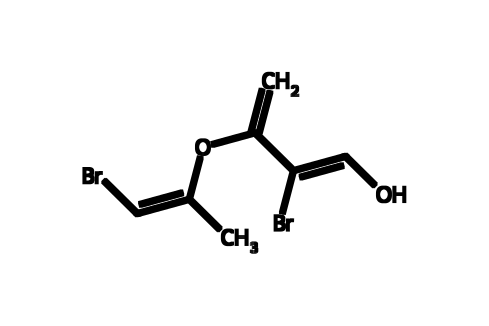 C=C(O/C(C)=C\Br)/C(Br)=C/O